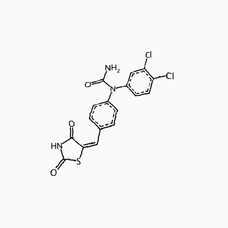 NC(=O)N(c1ccc(C=C2SC(=O)NC2=O)cc1)c1ccc(Cl)c(Cl)c1